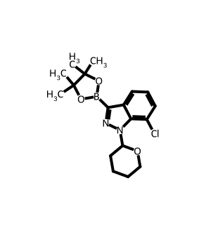 CC1(C)OB(c2nn(C3CCCCO3)c3c(Cl)cccc23)OC1(C)C